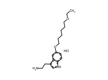 CCOCCCCCCOc1ccc2[nH]cc(CCN)c2c1.Cl